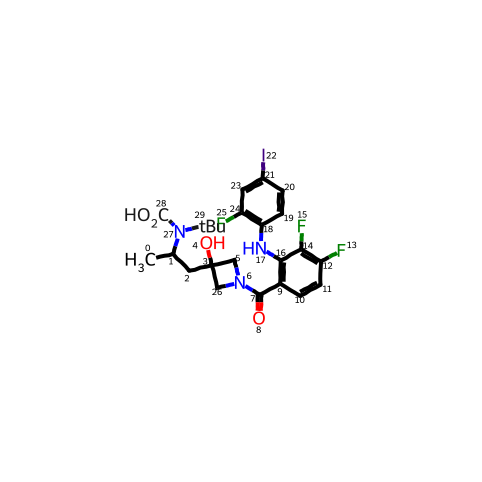 CC(CC1(O)CN(C(=O)c2ccc(F)c(F)c2Nc2ccc(I)cc2F)C1)N(C(=O)O)C(C)(C)C